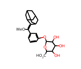 COC(=C1C2CC3CC(C2)CC1C3)c1cccc(OC2OC(C(=O)O)C(O)C(O)C2O)c1